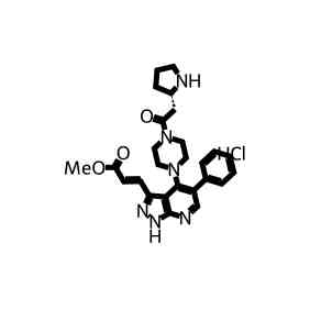 COC(=O)/C=C/c1n[nH]c2ncc(-c3ccccc3)c(N3CCN(C(=O)C[C@@H]4CCCN4)CC3)c12.Cl